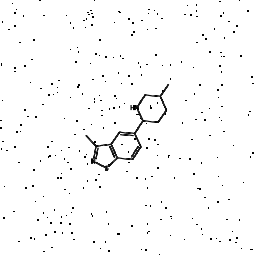 Cc1nsc2ccc(C3CCC(C)CN3)cc12